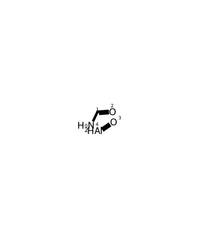 NC=O.[O]=[AlH]